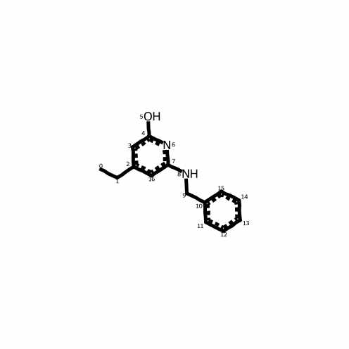 CCc1cc(O)nc(NCc2ccccc2)c1